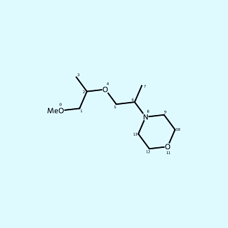 COCC(C)OCC(C)N1CCOCC1